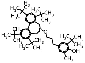 Cc1cc(CCCOP2Cc3c(cc(C(C)(C)C)cc3C(C)(C)C)-c3cc(C(C)(C)C)cc(C(C)(C)C)c3C2)cc(C(C)(C)C)c1O